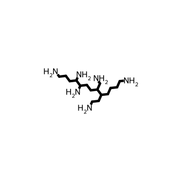 NCCCCC(CCN)C(CN)CCC(N)C(N)CCCN